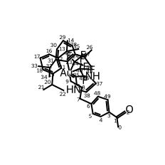 CC(=O)c1ccc(CC[CH2][Au]([c]2c(C(C)C)cccc2C(C)C)([c]2c(C(C)C)cccc2C(C)C)(=[c]2[nH]cc[nH]2)([C](F)(F)F)[C](F)(F)F)cc1